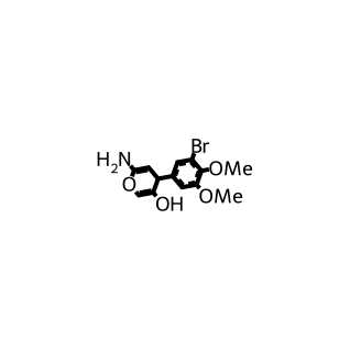 COc1cc(C2C=C(N)OC=C2O)cc(Br)c1OC